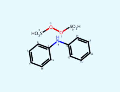 O=S(=O)(O)OOS(=O)(=O)O.c1ccc(Nc2ccccc2)cc1